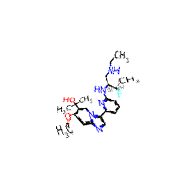 CCNC[C@H](Nc1cccc(-c2cnc3cc(OC)c(C(C)(C)O)cn23)n1)[C@H](C)F